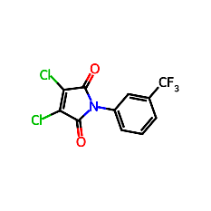 O=C1C(Cl)=C(Cl)C(=O)N1c1cccc(C(F)(F)F)c1